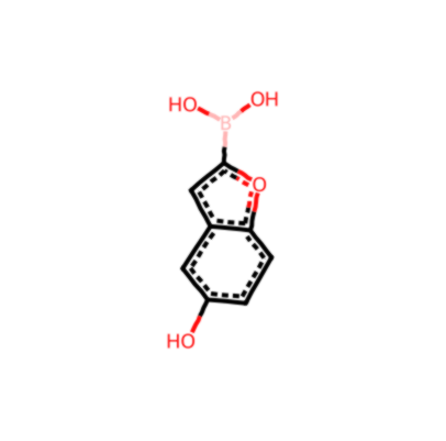 OB(O)c1cc2cc(O)ccc2o1